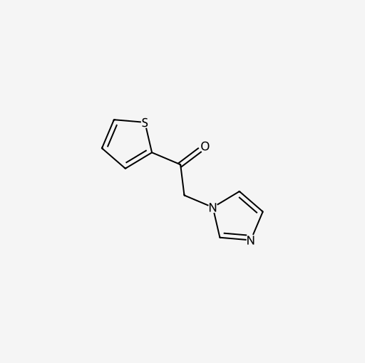 O=C(Cn1ccnc1)c1cccs1